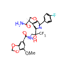 COc1cc(C(=O)NCC(O)(c2cc3c(c(-c4ccc(F)cc4)n2)OC[C@]3(C)C(N)=O)C(F)(F)F)cc2c1OCO2